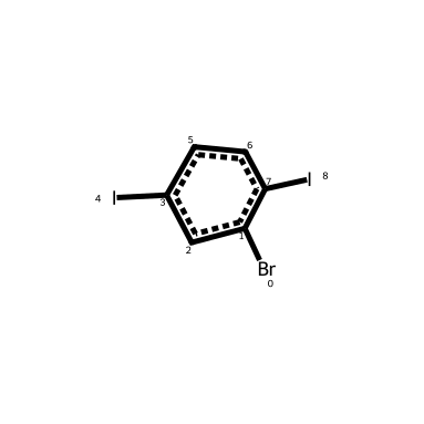 Brc1cc(I)ccc1I